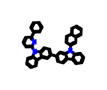 c1ccc(-c2cccc(-n3c4ccccc4c4cc(-c5ccc6c7ccccc7n(-c7ccc8ccccc8c7)c6c5)ccc43)n2)cc1